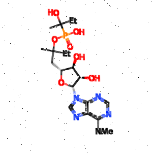 CCC(C)(C[C@H]1O[C@@H](n2cnc3c(NC)ncnc32)[C@H](O)[C@@H]1O)OP(=O)(O)C(C)(O)CC